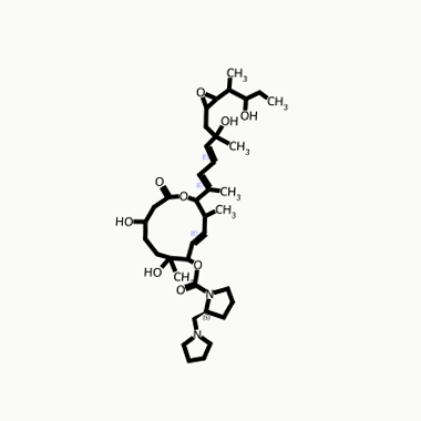 CCC(O)C(C)C1OC1CC(C)(O)/C=C/C=C(\C)C1OC(=O)CC(O)CCC(C)(O)C(OC(=O)N2CCC[C@H]2CN2CCCC2)/C=C/C1C